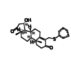 C[C@]12CCC(=O)C(CSc3ccccc3)=C1CC[C@H]1[C@@H]3[C@@H](O)CC(=O)[C@@]3(C)CC[C@@H]12